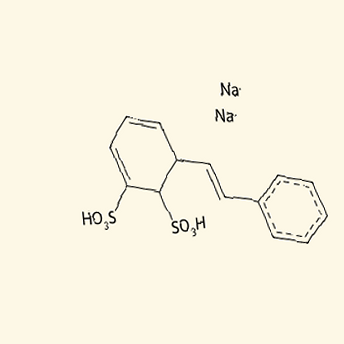 O=S(=O)(O)C1=CC=CC(C=Cc2ccccc2)C1S(=O)(=O)O.[Na].[Na]